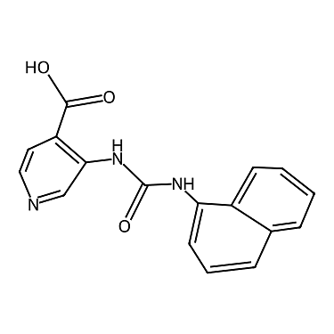 O=C(Nc1cnccc1C(=O)O)Nc1cccc2ccccc12